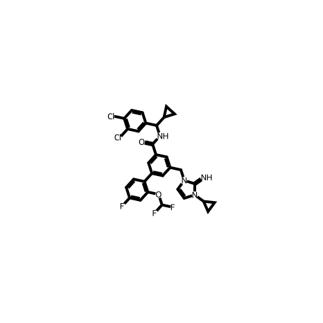 N=c1n(Cc2cc(C(=O)NC(c3ccc(Cl)c(Cl)c3)C3CC3)cc(-c3ccc(F)cc3OC(F)F)c2)ccn1C1CC1